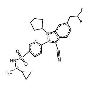 C[C@H](NS(=O)(=O)c1ccc(-c2c(C#N)c3ccc(CC(F)F)cc3n2C2CCCC2)nc1)C1CC1